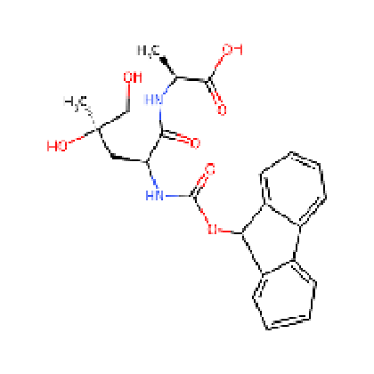 C[C@H](NC(=O)[C@H](C[C@@](C)(O)CO)NC(=O)OC1c2ccccc2-c2ccccc21)C(=O)O